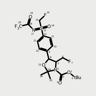 CC(C)(C)OC(=O)N1C(CF)C(c2ccc(S(=O)(CF)=NC(=O)C(F)(F)F)cc2)OC1(C)C